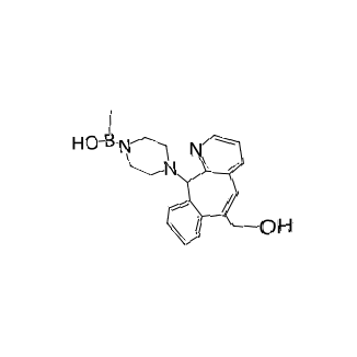 CB(O)N1CCN(C2c3ccccc3C(CO)=Cc3cccnc32)CC1